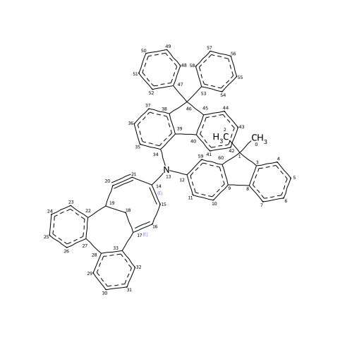 CC1(C)c2ccccc2-c2ccc(N(/C3=C/C=C4\CC(C#C3)c3ccccc3-c3ccccc34)c3cccc4c3-c3ccccc3C4(c3ccccc3)c3ccccc3)cc21